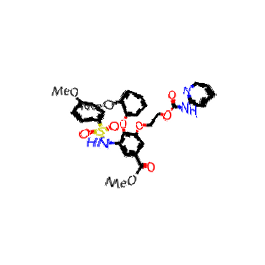 COC(=O)c1cc(NS(=O)(=O)c2ccc(OC)cc2)c(Oc2ccccc2OC)c(OCCOC(=O)Nc2ccccn2)c1